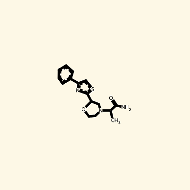 CC(C(N)=O)N1CCOC(c2nc(-c3ccccc3)cs2)C1